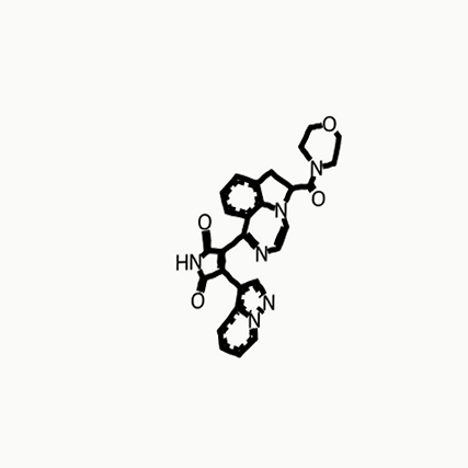 O=C1NC(=O)C(c2cnn3ccccc23)=C1C1=NC=CN2c3c(cccc31)CC2C(=O)N1CCOCC1